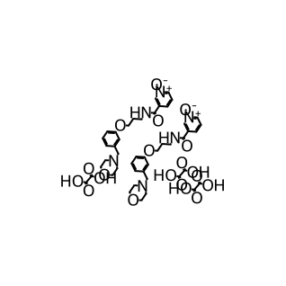 O=C(NCCCOc1cccc(CN2CCOCC2)c1)c1ccc[n+]([O-])c1.O=C(NCCCOc1cccc(CN2CCOCC2)c1)c1ccc[n+]([O-])c1.O=C(O)C(=O)O.O=C(O)C(=O)O.O=C(O)C(=O)O